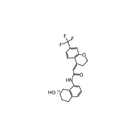 O=C(C=C1CCOc2cc(C(F)(F)F)ccc21)Nc1cccc2c1C[C@@H](O)CC2